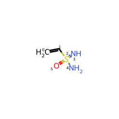 C=CS(=N)(N)=O